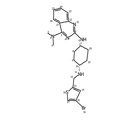 CN(C)c1nc(N[C@H]2CC[C@@H](NCc3cc(Br)cs3)CC2)nc2ccccc12